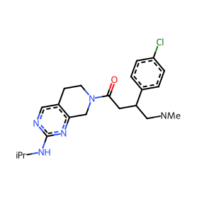 CNCC(CC(=O)N1CCc2cnc(NC(C)C)nc2C1)c1ccc(Cl)cc1